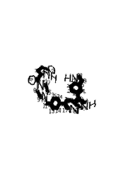 O=C1CCC(C(=O)N2CCN(Cc3ccc(-c4cnc5[nH]cc(-c6ccc7[nH]ccc7c6)c5c4)cc3)CC2)N1